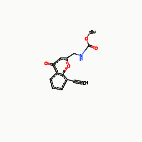 C#Cc1cccc2c(=O)cc(CNC(=O)OC(C)(C)C)oc12